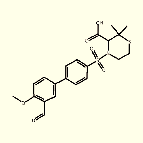 COc1ccc(-c2ccc(S(=O)(=O)N3CCSC(C)(C)C3C(=O)O)cc2)cc1C=O